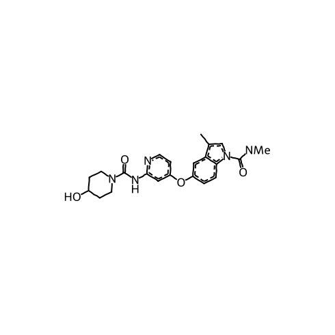 CNC(=O)n1cc(C)c2cc(Oc3ccnc(NC(=O)N4CCC(O)CC4)c3)ccc21